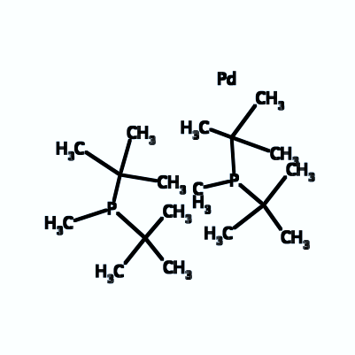 CP(C(C)(C)C)C(C)(C)C.CP(C(C)(C)C)C(C)(C)C.[Pd]